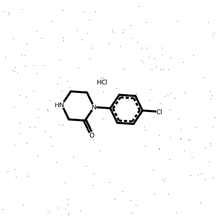 Cl.O=C1CNCCN1c1ccc(Cl)cc1